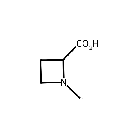 [CH2]N1CCC1C(=O)O